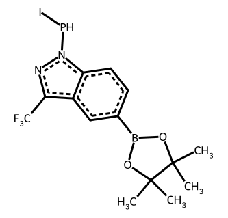 CC1(C)OB(c2ccc3c(c2)c(C(F)(F)F)nn3PI)OC1(C)C